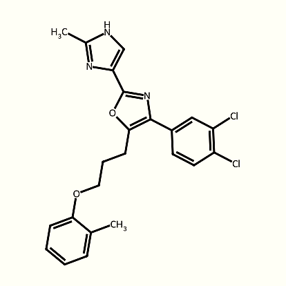 Cc1nc(-c2nc(-c3ccc(Cl)c(Cl)c3)c(CCCOc3ccccc3C)o2)c[nH]1